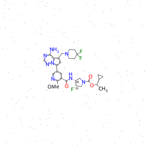 COc1ncc(-c2cc(CN3CCC(F)(F)CC3)c3c(N)ncnn23)cc1C(=O)N[C@@H]1CN(C(=O)OC(C)C2CC2)C[C@@H]1F